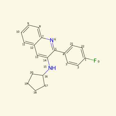 Fc1ccc(-c2nc3ccccc3cc2NC2CCCC2)cc1